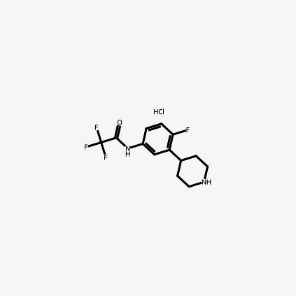 Cl.O=C(Nc1ccc(F)c(C2CCNCC2)c1)C(F)(F)F